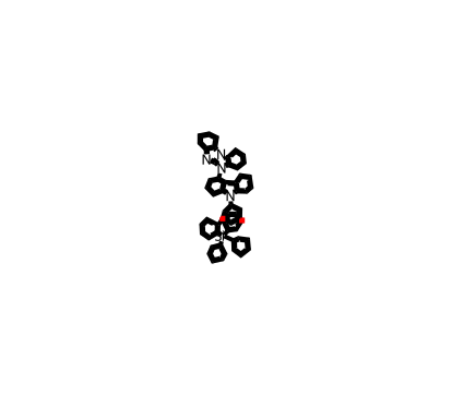 c1ccc([Si](c2ccccc2)(c2ccccc2)c2ccccc2-c2cccc(-n3c4ccccc4c4c(-n5c6ccccc6n6c7ccccc7nc56)cccc43)c2)cc1